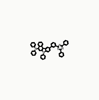 c1ccc(-c2nc(-c3ccccc3)nc(-c3cccc(-c4ccc5c(c4)c4c6ccccc6c(N(c6ccccc6)c6ccccc6)cc4n5-c4ccccc4)c3)n2)cc1